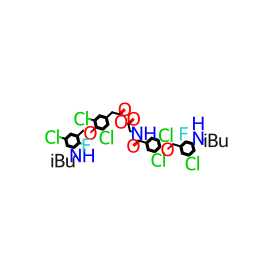 CCC(C)Nc1cc(Cl)cc(COc2c(Cl)cc(CC(=O)OC(=O)CNC(=O)c3cc(Cl)c(OCc4cc(Cl)cc(NC(C)CC)c4F)c(Cl)c3)cc2Cl)c1F